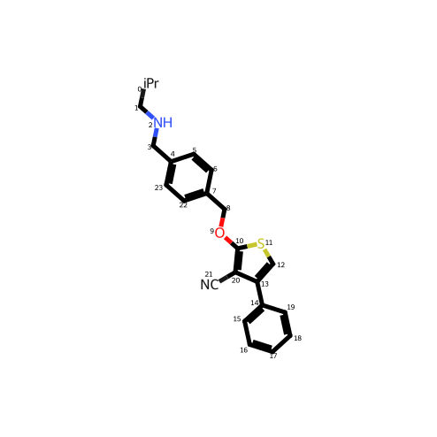 CC(C)CNCc1ccc(COc2scc(-c3ccccc3)c2C#N)cc1